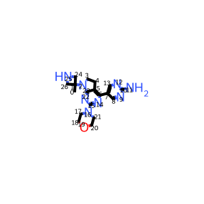 CC1(N2CCc3c(-c4cnc(N)nc4)nc(N4CCOCC4)nc32)CNC1